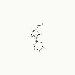 [CH2]Cc1cnc(N2CCCCC2)o1